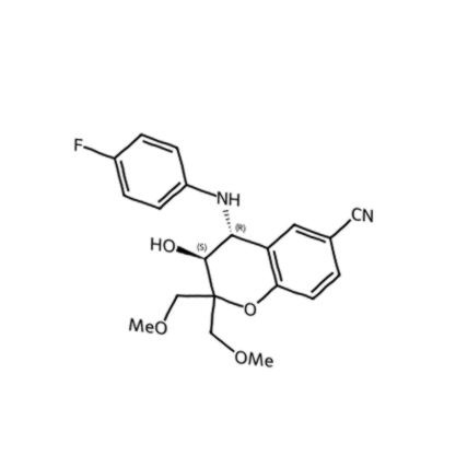 COCC1(COC)Oc2ccc(C#N)cc2[C@@H](Nc2ccc(F)cc2)[C@@H]1O